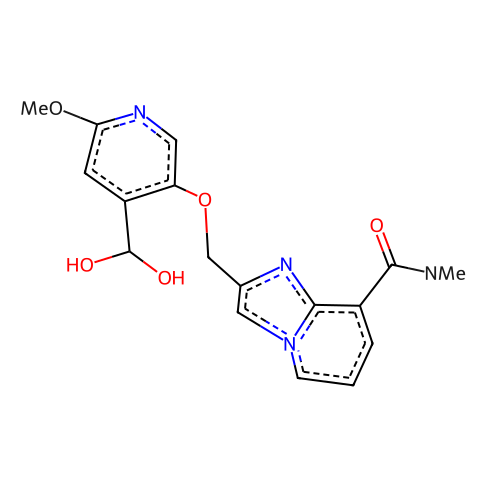 CNC(=O)c1cccn2cc(COc3cnc(OC)cc3C(O)O)nc12